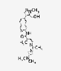 C=C(/C=C\N=C(/C)N1CC(N(C)C)C1)C(=O)Nc1cc2cc(-c3cnn(C)c3CO)ccc2cn1